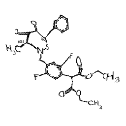 CCOC(=O)C(C(=O)OCC)c1cc(F)c(CN2S[C@H](c3ccccc3)C(=O)C(=O)[C@@H]2C)cc1F